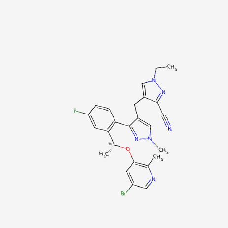 CCn1cc(Cc2cn(C)nc2-c2ccc(F)cc2[C@@H](C)Oc2cc(Br)cnc2C)c(C#N)n1